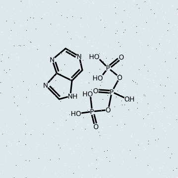 O=P(O)(O)OP(=O)(O)OP(=O)(O)O.c1ncc2[nH]cnc2n1